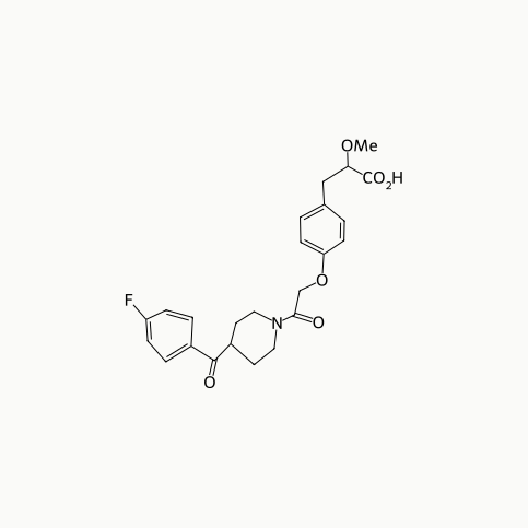 COC(Cc1ccc(OCC(=O)N2CCC(C(=O)c3ccc(F)cc3)CC2)cc1)C(=O)O